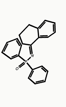 O=P(/N=C1\CCCc2ccccc21)(c1ccccc1)c1ccccc1